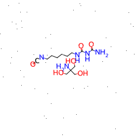 NC(=O)NC(=O)NCCCCCCN=C=O.NC(CO)(CO)CO